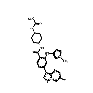 COC(=O)N[C@H]1CC[C@H](NC(=O)c2cnc(-c3cnn4cc(Cl)cnc34)cc2Nc2cnn(C)c2)CC1